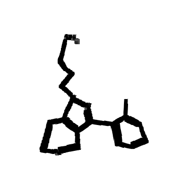 Cc1ccccc1-c1nn(CCCN)c2ccncc12